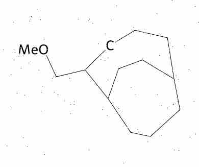 COCC1CCCC2CCCC1CC2